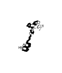 Cc1ccc([C@@H]2CCOC2)c([C@H](C(=O)O)N2CC[C@@H](OCCCCc3ccc4c(n3)NCCC4)C2)c1